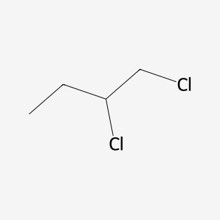 CCC(Cl)CCl